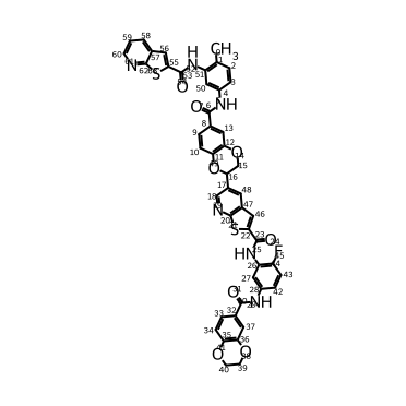 Cc1ccc(NC(=O)c2ccc3c(c2)OCC(c2cnc4sc(C(=O)Nc5cc(NC(=O)c6ccc7c(c6)OCCO7)ccc5F)cc4c2)O3)cc1NC(=O)c1cc2cccnc2s1